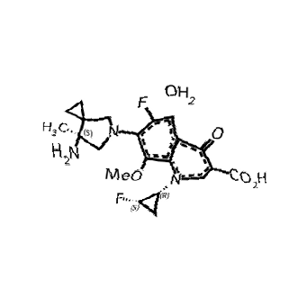 COc1c(N2CC3(CC3)[C@](C)(N)C2)c(F)cc2c(=O)c(C(=O)O)cn([C@@H]3C[C@@H]3F)c12.O